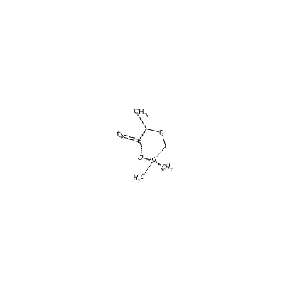 CC1OC[Si](C)(C)OC1=O